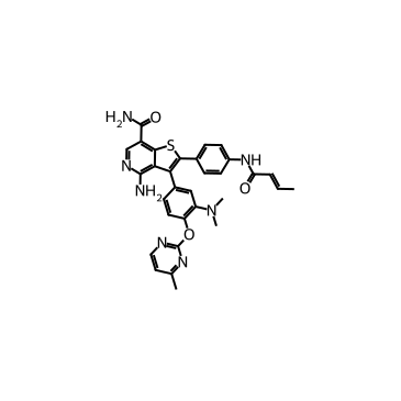 CC=CC(=O)Nc1ccc(-c2sc3c(C(N)=O)cnc(N)c3c2-c2ccc(Oc3nccc(C)n3)c(N(C)C)c2)cc1